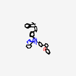 CC1(C)c2ccccc2-c2c(-c3cccc(-c4nc(C5=CC=CCC5)nc(-c5ccc(-c6cccc7c6oc6ccccc67)cc5)n4)c3)cccc21